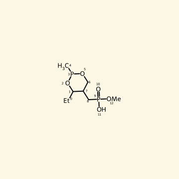 CCC1OP(C)OCC1CP(=O)(O)OC